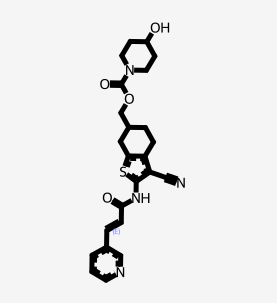 N#Cc1c(NC(=O)/C=C/c2cccnc2)sc2c1CCC(COC(=O)N1CCC(O)CC1)C2